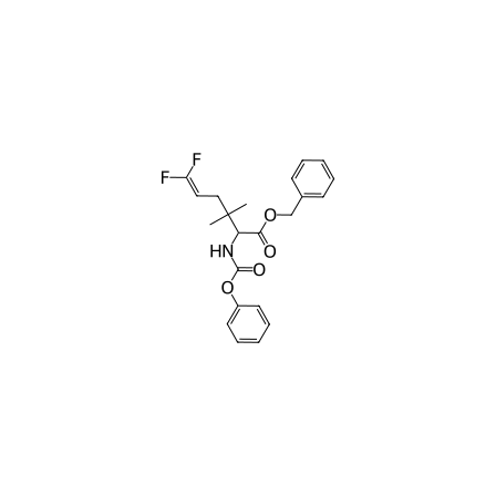 CC(C)(CC=C(F)F)C(NC(=O)Oc1ccccc1)C(=O)OCc1ccccc1